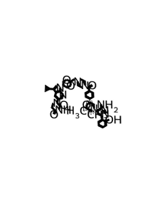 C[C@@H]1O[C@H](c2ccc(C(=O)N3CCN(CC4OCC(n5cc(C6CC6)c6cc(N7CCC(=O)NC7=O)cnc65)CO4)CC3)cc2)CN(c2cc(-c3ccccc3O)nnc2N)[C@@H]1C